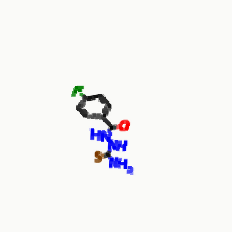 NC(=S)NNC(=O)c1ccc(F)cc1